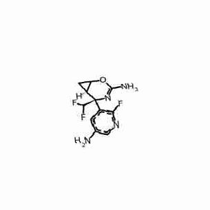 NC1=N[C@@](c2cc(N)cnc2F)(C(F)F)[C@H]2CC2O1